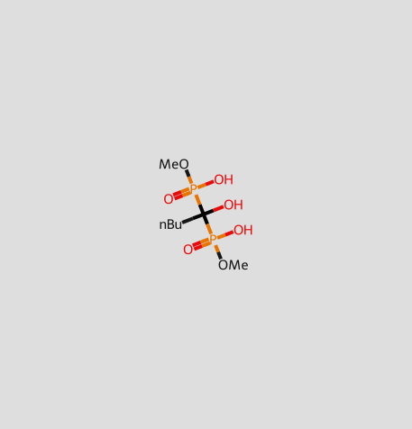 CCCCC(O)(P(=O)(O)OC)P(=O)(O)OC